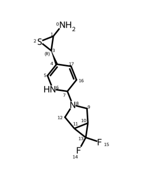 NC1S[C@@H]1C1=CNC(N2CC3C(C2)C3(F)F)C=C1